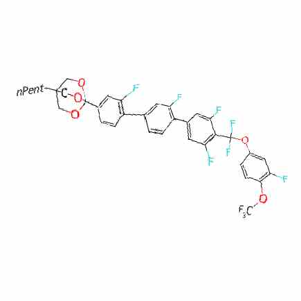 CCCCCC12COC(c3ccc(-c4ccc(-c5cc(F)c(C(F)(F)Oc6ccc(OC(F)(F)F)c(F)c6)c(F)c5)c(F)c4)c(F)c3)(OC1)OC2